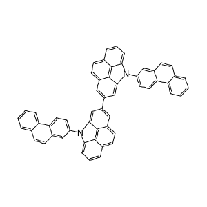 c1ccc2c(c1)ccc1cc(-n3c4cccc5ccc6cc(-c7cc8ccc9cccc%10c9c8c(c7)n%10-c7ccc8c(ccc9ccccc98)c7)cc3c6c54)ccc12